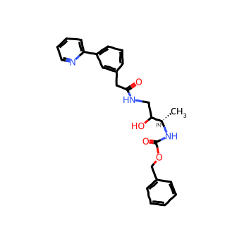 C[C@H](NC(=O)OCc1ccccc1)C(O)CNC(=O)Cc1cccc(-c2ccccn2)c1